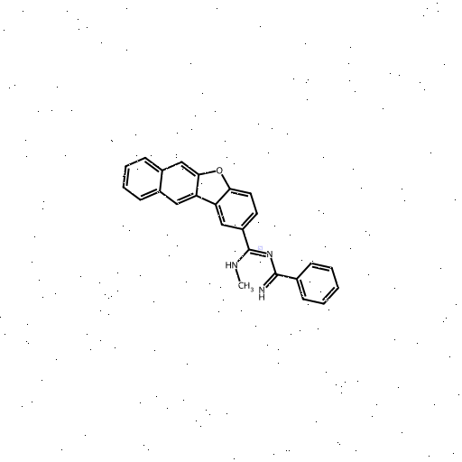 CN/C(=N\C(=N)c1ccccc1)c1ccc2oc3cc4ccccc4cc3c2c1